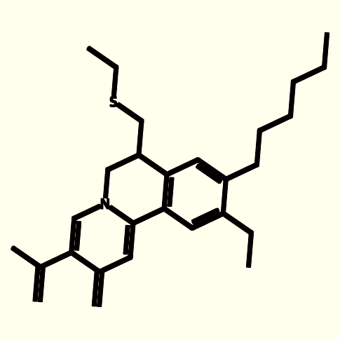 C=C(C)C1=CN2CC(CSCC)c3cc(CCCCCC)c(CC)cc3C2=CC1=C